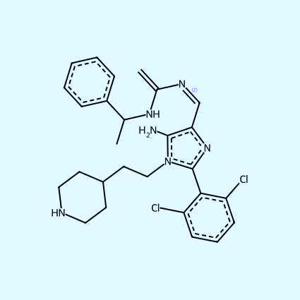 C=C(/N=C\c1nc(-c2c(Cl)cccc2Cl)n(CCC2CCNCC2)c1N)NC(C)c1ccccc1